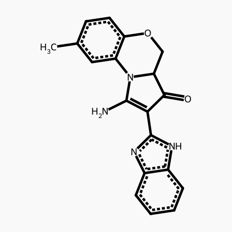 Cc1ccc2c(c1)N1C(N)=C(c3nc4ccccc4[nH]3)C(=O)C1CO2